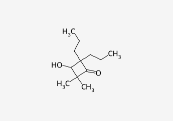 CCCC1(CCC)C(=O)C(C)(C)C1O